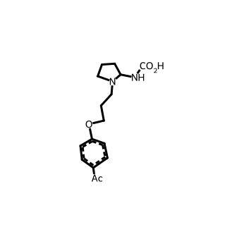 CC(=O)c1ccc(OCCCN2CCCC2NC(=O)O)cc1